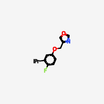 CC(C)c1cc(OCc2cocn2)ccc1F